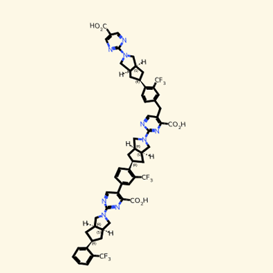 O=C(O)c1cnc(N2C[C@H]3C[C@@H](c4ccc(Cc5cnc(N6C[C@H]7C[C@@H](c8ccc(-c9cnc(N%10C[C@H]%11C[C@@H](c%12ccccc%12C(F)(F)F)C[C@H]%11C%10)nc9C(=O)O)cc8C(F)(F)F)C[C@H]7C6)nc5C(=O)O)cc4C(F)(F)F)C[C@H]3C2)nc1